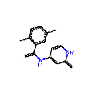 C=C1C=C(NC(=C)c2cc(C)ccc2C)C=CN1